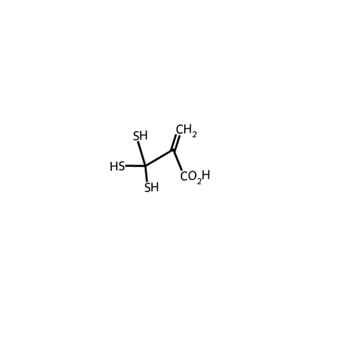 C=C(C(=O)O)C(S)(S)S